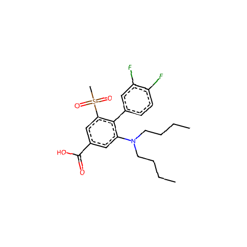 CCCCN(CCCC)c1cc(C(=O)O)cc(S(C)(=O)=O)c1-c1ccc(F)c(F)c1